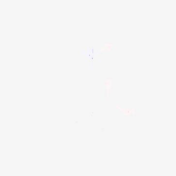 CC1CC[NH+]([O-])CC1.O=C(O)C(F)(F)F